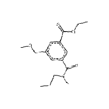 CCCN(C)C(=O)c1cc(COC)cc(C(=O)OCC)c1